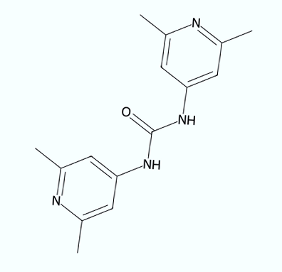 Cc1cc(NC(=O)Nc2cc(C)nc(C)c2)cc(C)n1